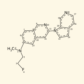 CN(CCF)c1ccc2cnc(-n3ccc4ccncc43)cc2c1